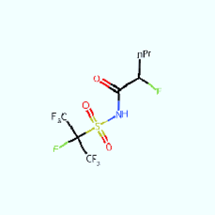 CCCC(F)C(=O)NS(=O)(=O)C(F)(C(F)(F)F)C(F)(F)F